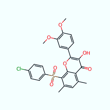 COc1ccc(-c2oc3c(S(=O)(=O)c4ccc(Cl)cc4)c(C)cc(C)c3c(=O)c2O)cc1OC